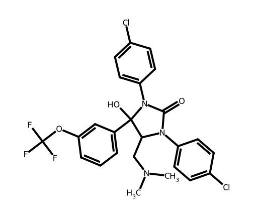 CN(C)CC1N(c2ccc(Cl)cc2)C(=O)N(c2ccc(Cl)cc2)C1(O)c1cccc(OC(F)(F)F)c1